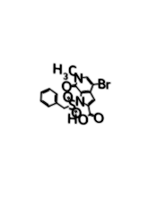 Cn1cc(Br)c2cc(C(=O)O)n(S(=O)(=O)Cc3ccccc3)c2c1=O